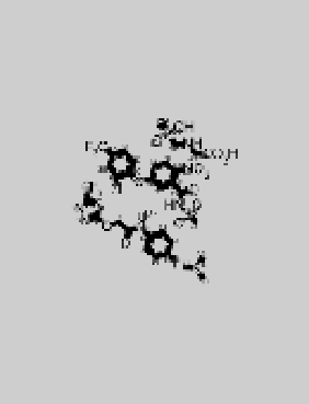 CC(C)N(C(=O)COc1nnc(C(F)(F)F)s1)c1ccc(F)cc1.CS(=O)(=O)NC(=O)c1cc(Oc2ccc(C(F)(F)F)cc2Cl)ccc1[N+](=O)[O-].C[S+](C)C.O=C(O)CNCP(=O)([O-])O